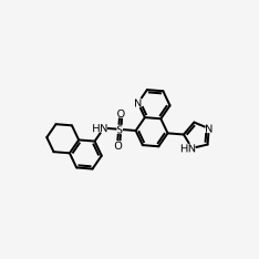 O=S(=O)(Nc1cccc2c1CCCC2)c1ccc(-c2cnc[nH]2)c2cccnc12